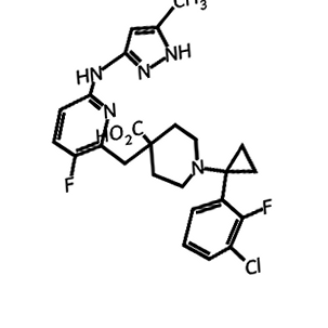 Cc1cc(Nc2ccc(F)c(CC3(C(=O)O)CCN(C4(c5cccc(Cl)c5F)CC4)CC3)n2)n[nH]1